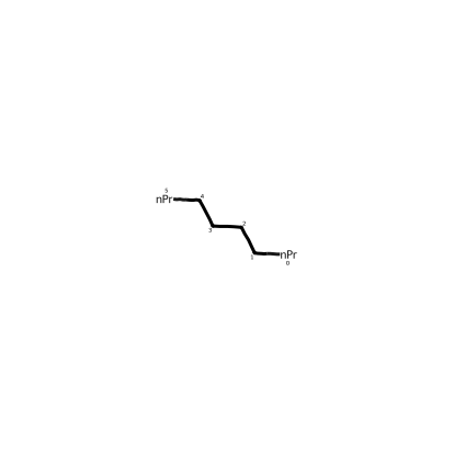 C[CH]CCCCCC[CH]C